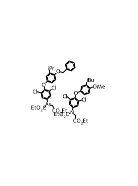 CCOC(=O)CN(C(=O)OCC)c1cc(Cl)c(Oc2ccc(OC)c(C(C)CC)c2)c(Cl)c1.CCOC(=O)C[As](C(=O)OCC)c1cc(Cl)c(Oc2ccc(OCc3ccccc3)c(C(C)C)c2)c(Cl)c1